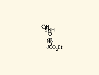 CCOC(=O)C1(COc2ncc(-c3ccc(Nc4nc5ccccc5s4)cc3)cn2)CC1